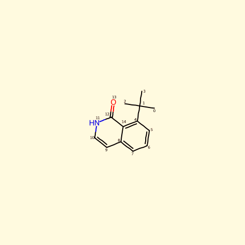 CC(C)(C)c1cccc2cc[nH]c(=O)c12